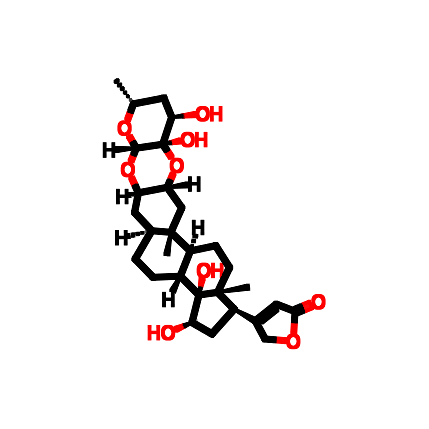 C[C@@H]1C[C@@H](O)[C@]2(O)O[C@@H]3C[C@@]4(C)[C@@H](CC[C@@H]5[C@@H]4CC[C@]4(C)[C@@H](C6=CC(=O)OC6)C[C@@H](O)[C@]54O)C[C@H]3O[C@@H]2O1